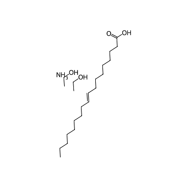 CCCCCCCCC=CCCCCCCCC(=O)O.CCO.CCO.N